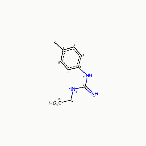 Cc1ccc(NC(=N)NCC(=O)O)cc1